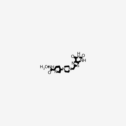 CNC(=O)c1ccc(N2CCN(Cc3nc4c(=O)[nH]c(=O)[nH]c4s3)CC2)cn1